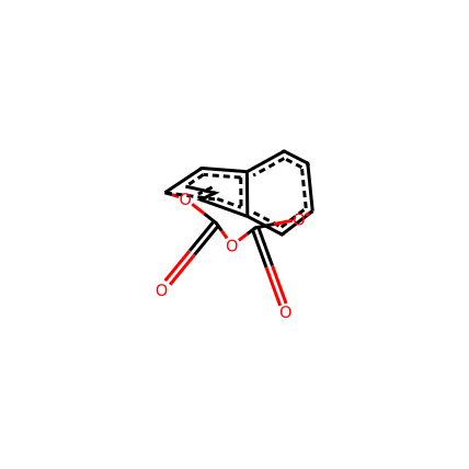 O=C1OC(=O)Oc2ccc3cc(ccc3c2)O1